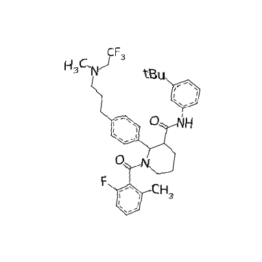 Cc1cccc(F)c1C(=O)N1CCCC(C(=O)Nc2cccc(C(C)(C)C)c2)C1c1ccc(CCCN(C)CC(F)(F)F)cc1